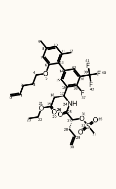 C=CCCCOc1cc(C)cc(C)c1-c1cc([C@H](CC(=O)OCC)NC(=O)[C@@H](CC=C)OS(C)(=O)=O)c(F)c(C(F)(F)F)c1